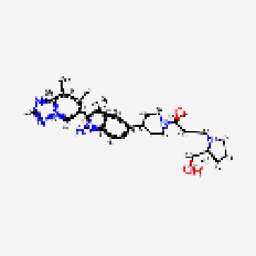 Cc1c(-c2[nH]c3ccc(C4CCN(C(=O)CCN5CCC[C@H]5CO)CC4)cc3c2C(C)C)cn2ncnc2c1C